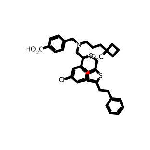 O=C(O)c1ccc(CN(CCCC2(C(=O)O)CCC2)CC(OCc2ccc(CCc3ccccc3)s2)c2cccc(Cl)c2)cc1